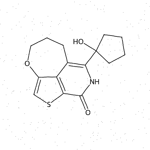 O=c1[nH]c(C2(O)CCCC2)c2c3c(csc13)OCCC2